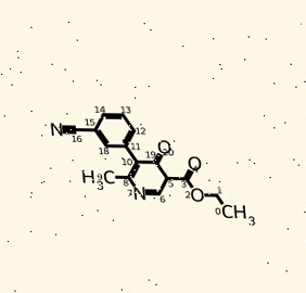 CCOC(=O)C1C=NC(C)=C(c2cccc(C#N)c2)C1=O